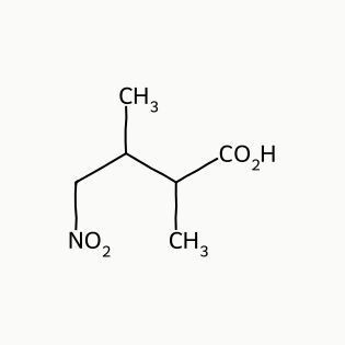 CC(C[N+](=O)[O-])C(C)C(=O)O